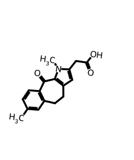 Cc1ccc2c(c1)CCc1cc(CC(=O)O)n(C)c1C2=O